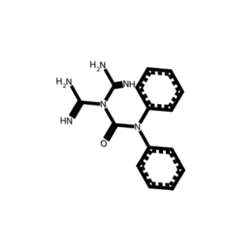 N=C(N)N(C(=N)N)C(=O)N(c1ccccc1)c1ccccc1